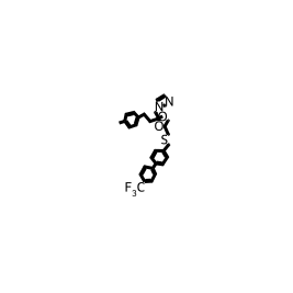 Cc1ccc(CCC2(Cn3ccnc3)OCC(CSCc3ccc(-c4ccc(C(F)(F)F)cc4)cc3)O2)cc1